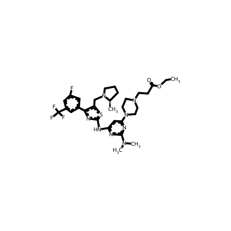 CCOC(=O)CCN1CCN(c2cc(Nc3nc(-c4cc(F)cc(C(F)(F)F)c4)c(CN4CCC[C@H]4C)s3)nc(N(C)C)n2)CC1